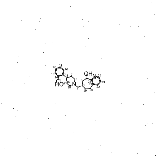 O[C@H]1C[C@H](CN2CC[C@H](c3ccccc3Cl)[C@@H](O)C2)CCc2cccnc21